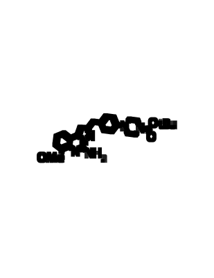 COc1cccc2c1nc(N)n1nc(Cc3ccc(N4CCN(C(=O)OC(C)(C)C)CC4)cc3)cc21